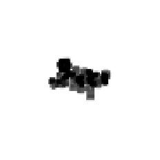 CC(=O)OCC1=C(C(=O)O)N2C(=O)[C@H](NC(=O)C(c3ccccc3)c3noc(N(C)C)n3)C2SC1